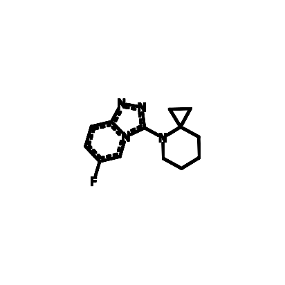 Fc1ccc2nnc(N3CCCCC34CC4)n2c1